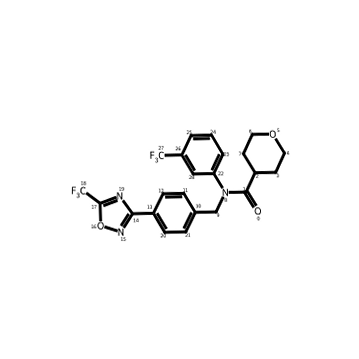 O=C(C1CCOCC1)N(Cc1ccc(-c2noc(C(F)(F)F)n2)cc1)c1cccc(C(F)(F)F)c1